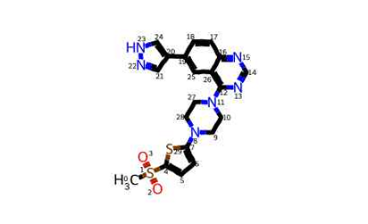 CS(=O)(=O)c1ccc(N2CCN(c3ncnc4ccc(-c5cn[nH]c5)cc34)CC2)s1